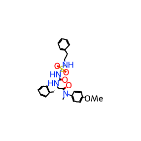 COc1ccc(N(C)C(=O)[C@H](Cc2ccccc2)NC(=O)NS(=O)(=O)NCCc2ccccc2)cc1